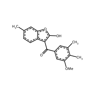 COc1cc(C(=O)c2c(O)oc3cc(C)ccc23)cc(C)c1C